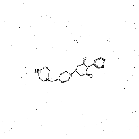 O=C1CC(N2CCC(CN3CCNCC3)CC2)CC(=O)N1c1ccccc1